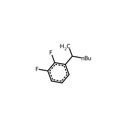 [CH2]C(CCCC)c1cccc(F)c1F